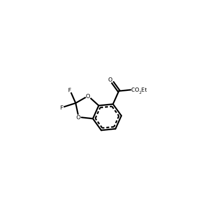 CCOC(=O)C(=O)c1cccc2c1OC(F)(F)O2